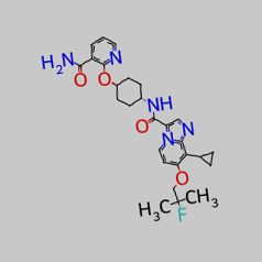 CC(C)(F)COc1ccn2c(C(=O)N[C@H]3CC[C@H](Oc4ncccc4C(N)=O)CC3)cnc2c1C1CC1